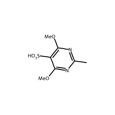 COc1nc(C)nc(OC)c1S(=O)(=O)O